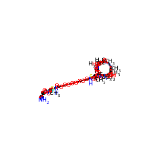 CO[C@H]1C[C@@H]2CC[C@@H](C)[C@@](O)(O2)C(=O)C(=O)N2CCCC[C@H]2C(=O)O[C@H]([C@H](N)CC2CC[C@@H](OC(=S)NCCOCCOCCOCCOCCOCCOCCOCCOCCC(=O)NCCSc3ccc(C(=O)N4CCOc5ccc(-c6ccc(N)nc6)cc5C4)c(C)c3F)[C@H](OC)C2)C[C@@H](O)[C@H](C)/C=C(\C)[C@@H](O)[C@@H](O)C(=O)[C@H](C)C[C@H](C)/C=C/C=C/C=C/1C